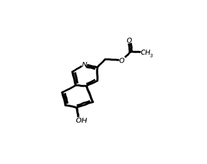 CC(=O)OCc1cc2cc(O)ccc2cn1